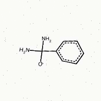 NC(N)([O])c1ccccc1